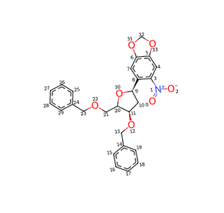 O=[N+]([O-])c1cc2c(cc1[C@H]1C[C@@H](OCc3ccccc3)C(COCc3ccccc3)O1)OCO2